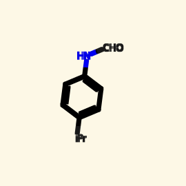 CC(C)c1ccc(NC=O)cc1